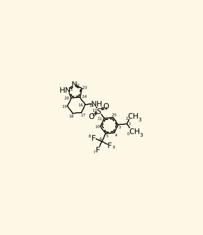 CC(C)c1cc(C(F)(F)F)cc(S(=O)(=O)NC2CCCc3[nH]ncc32)c1